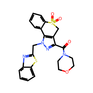 O=C(c1nn(Cc2nc3ccccc3s2)c2c1CS(=O)(=O)c1ccccc1-2)N1CCOCC1